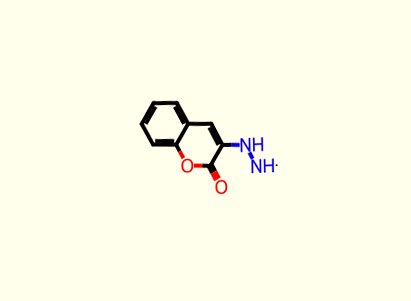 [NH]Nc1cc2ccccc2oc1=O